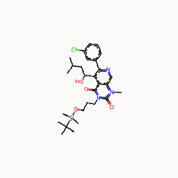 CC(C)CC(O)c1c(-c2cccc(Cl)c2)ncc2c1c(=O)n(CCCO[Si](C)(C)C(C)(C)C)c(=O)n2C